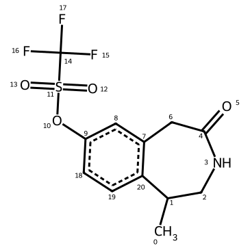 CC1CNC(=O)Cc2cc(OS(=O)(=O)C(F)(F)F)ccc21